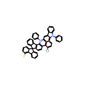 Fc1cccc2c1-c1ccccc1C21c2ccccc2-c2c1ccc(-c1ccccc1Cl)c2N(c1ccccc1)c1ccc2c(c1)c1ccccc1n2-c1ccccc1